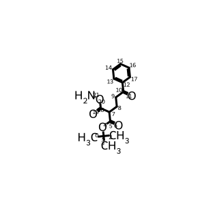 CC(C)(C)OC(=O)C(CCC(=O)c1ccccc1)C(=O)ON